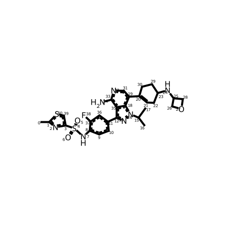 Cc1nc(S(=O)(=O)Nc2ccc(-c3nn(C(C)C)c4c(C5=CCC(NC6COC6)CC5)cnc(N)c34)cc2F)cs1